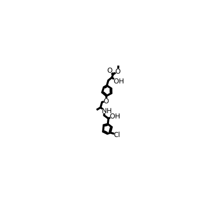 COC(=O)C(O)Cc1ccc(OCC(C)NCC(O)c2cccc(Cl)c2)cc1